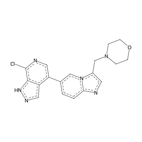 Clc1ncc(-c2ccc3ncc(CN4CCOCC4)n3c2)c2cn[nH]c12